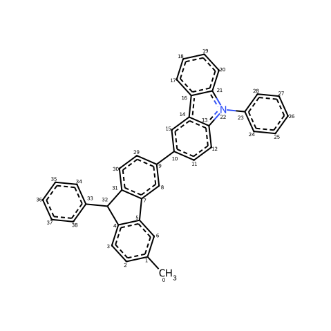 Cc1ccc2c(c1)-c1cc(-c3ccc4c(c3)c3ccccc3n4-c3ccccc3)ccc1C2c1ccccc1